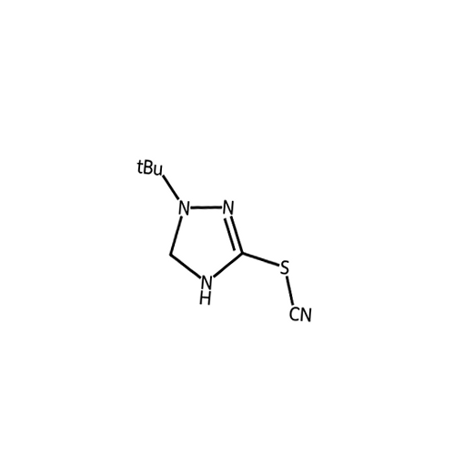 CC(C)(C)N1CNC(SC#N)=N1